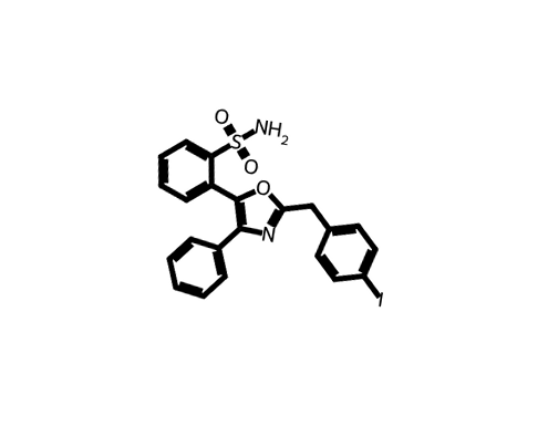 NS(=O)(=O)c1ccccc1-c1oc(Cc2ccc(I)cc2)nc1-c1ccccc1